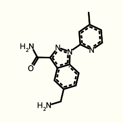 Cc1ccnc(-n2nc(C(N)=O)c3cc(CN)ccc32)c1